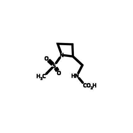 CS(=O)(=O)N1CCC1CNC(=O)O